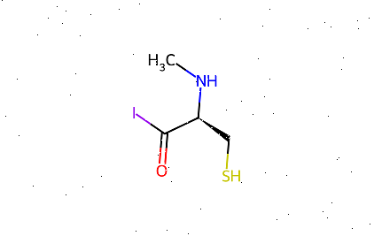 CN[C@@H](CS)C(=O)I